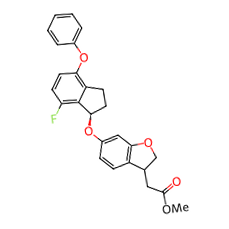 COC(=O)CC1COc2cc(O[C@@H]3CCc4c(Oc5ccccc5)ccc(F)c43)ccc21